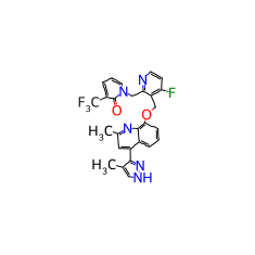 Cc1cc(-c2n[nH]cc2C)c2cccc(OCc3c(F)ccnc3Cn3cccc(C(F)(F)F)c3=O)c2n1